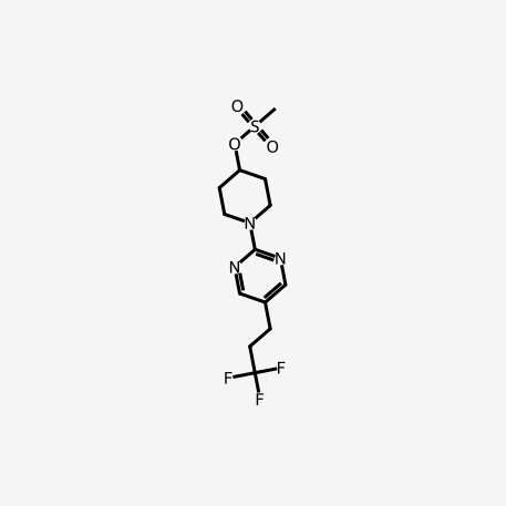 CS(=O)(=O)OC1CCN(c2ncc(CCC(F)(F)F)cn2)CC1